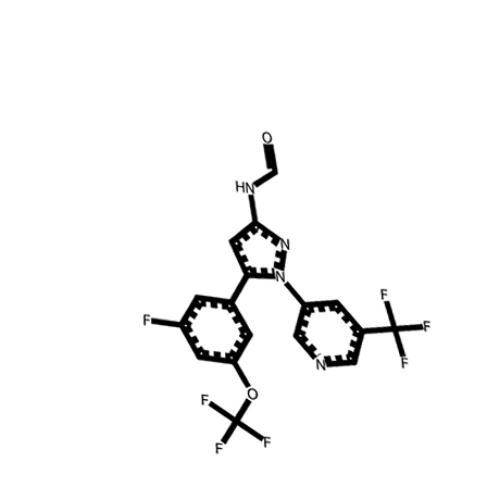 O=CNc1cc(-c2cc(F)cc(OC(F)(F)F)c2)n(-c2cncc(C(F)(F)F)c2)n1